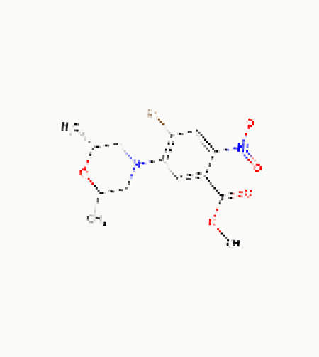 COC(=O)c1cc(N2C[C@@H](C)O[C@@H](C)C2)c(Br)cc1[N+](=O)[O-]